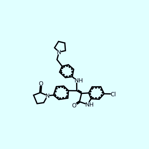 O=C1Nc2cc(Cl)ccc2C1=C(Nc1ccc(CN2CCCC2)cc1)c1ccc(N2CCCC2=O)cc1